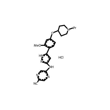 COc1cc(OC2CCN(C(C)C)CC2)ccc1-c1cc(Nc2cnc(C#N)cn2)n[nH]1.Cl